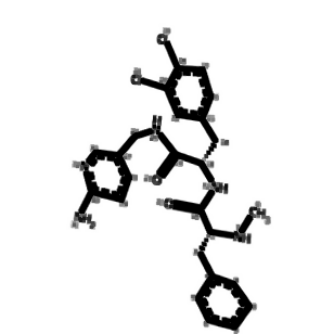 CN[C@H](Cc1ccccc1)C(=O)N[C@@H](Cc1ccc(Cl)c(Cl)c1)C(=O)NCc1ccc(N)nc1